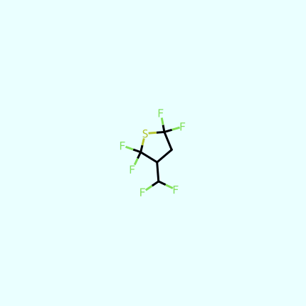 FC(F)C1CC(F)(F)SC1(F)F